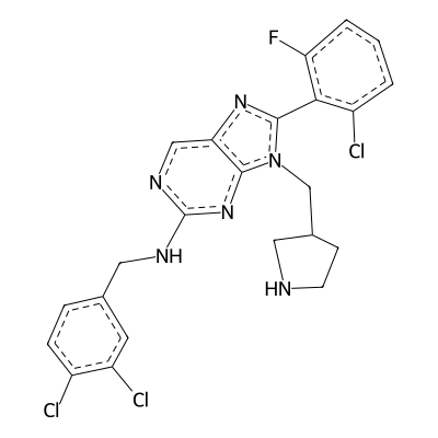 Fc1cccc(Cl)c1-c1nc2cnc(NCc3ccc(Cl)c(Cl)c3)nc2n1CC1CCNC1